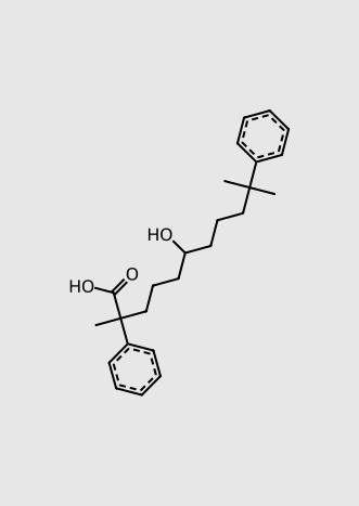 CC(C)(CCCC(O)CCCC(C)(C(=O)O)c1ccccc1)c1ccccc1